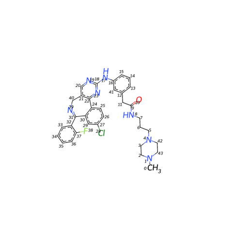 CN1CCN(CCCNC(=O)Cc2cccc(Nc3ncc4c(n3)-c3ccc(Cl)cc3C(c3ccccc3F)=NC4)c2)CC1